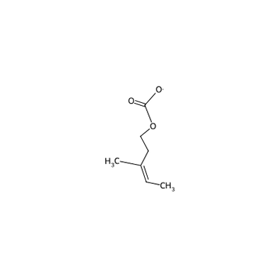 CC=C(C)CCOC([O])=O